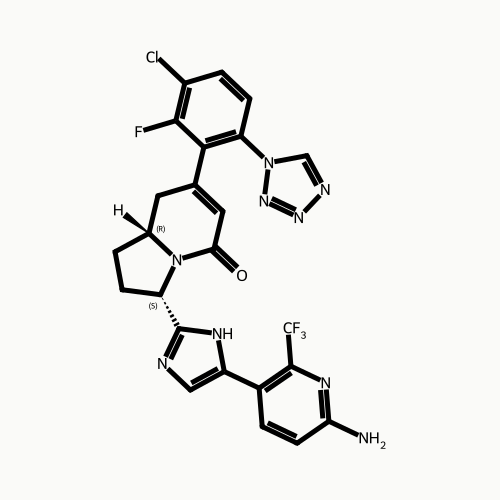 Nc1ccc(-c2cnc([C@@H]3CC[C@@H]4CC(c5c(-n6cnnn6)ccc(Cl)c5F)=CC(=O)N43)[nH]2)c(C(F)(F)F)n1